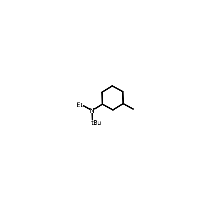 CCN(C1CCCC(C)C1)C(C)(C)C